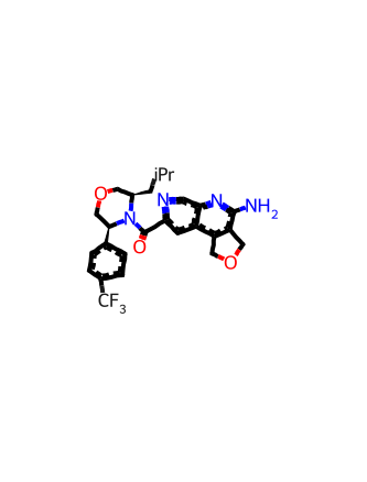 CC(C)C[C@@H]1COC[C@H](c2ccc(C(F)(F)F)cc2)N1C(=O)c1cc2c3c(c(N)nc2cn1)COC3